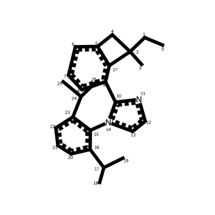 CCC1(C)Cc2cccc(-c3nccn3-c3c(C(C)C)cccc3C(C)C)c21